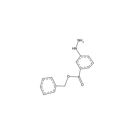 NNc1cccc(C(=O)OCc2ccccc2)c1